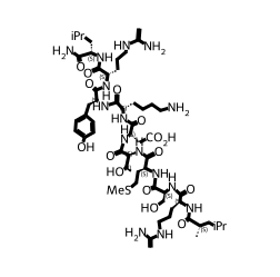 C=C(N)NCCC[C@H](NC(=O)[C@H](Cc1ccc(O)cc1)NC(=O)[C@H](CCCCN)NC(=O)[C@H](CC(=O)O)NC(=O)[C@@H](NC(=O)[C@H](CCSC)NC(=O)[C@H](CO)NC(=O)[C@H](CCCNC(=C)N)NC(=O)[C@@H](C)CC(C)C)[C@@H](C)O)C(=O)N[C@@H](CC(C)C)C(N)=O